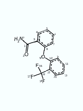 NC(=O)c1ccccc1Oc1ccccc1C(F)(F)F